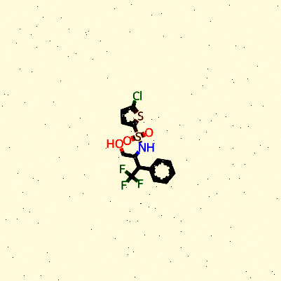 O=S(=O)(NC(CO)C(c1ccccc1)C(F)(F)F)c1ccc(Cl)s1